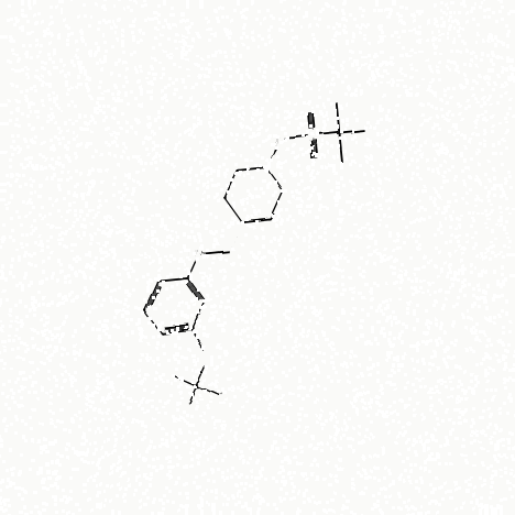 CC(C)(C)S(=O)(=O)N[C@H]1CC[C@H](CNc2cccc(OC(F)(F)F)c2)CC1